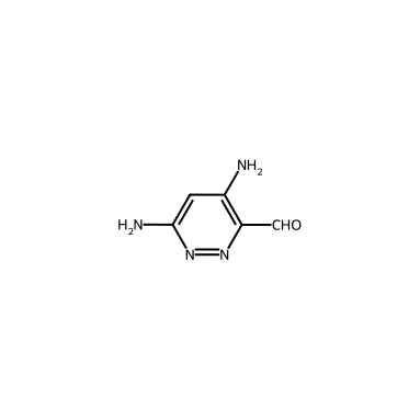 Nc1cc(N)c(C=O)nn1